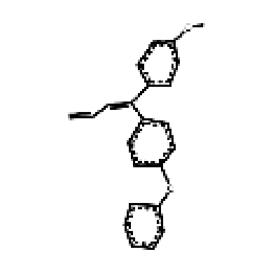 C=CC=C(c1ccc(OC)cc1)c1ccc(Oc2ccccc2)cc1